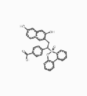 O=C(S)c1ccc(C(Cc2cc3ccc(O)cc3cc2O)P2(=O)Oc3ccccc3-c3ccccc32)cc1